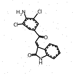 Nc1c(Cl)cc(C(=O)/C=C2/C(=O)Nc3ccccc32)cc1Cl